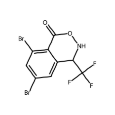 O=C1ONC(C(F)(F)F)c2cc(Br)cc(Br)c21